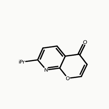 CC(C)c1ccc2c(=O)ccoc2n1